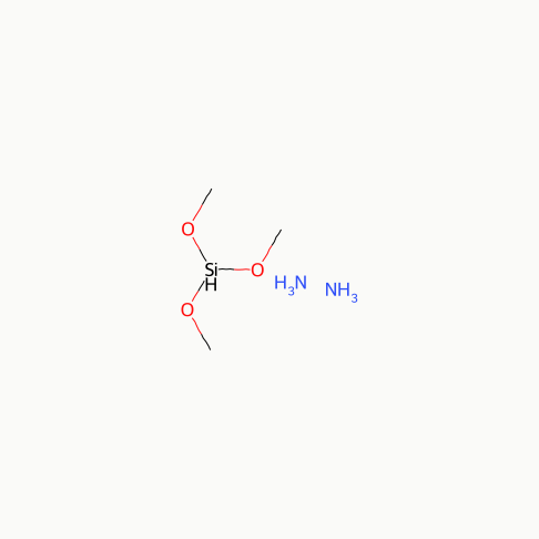 CO[SiH](OC)OC.N.N